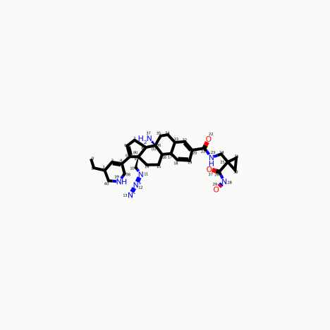 CCC1C=C(C2=CCC3[C@]2(CN=[N+]=[N-])CCC2C4C=CC(C(=O)NCC5(C(=O)N=O)CC5)=CC4CC[C@]23N)CNC1